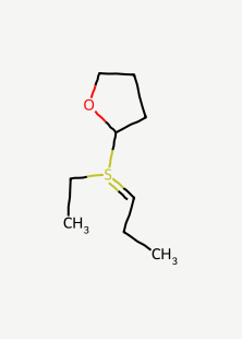 CCC=S(CC)C1CCCO1